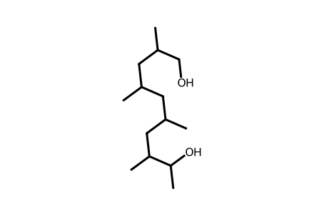 CC(CO)CC(C)CC(C)CC(C)C(C)O